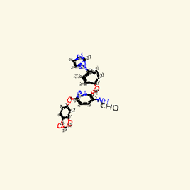 O=CNc1ccc(Oc2ccc3c(c2)OCO3)nc1Oc1ccc(-n2ccnc2)cc1